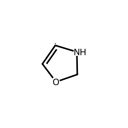 [C]1=COCN1